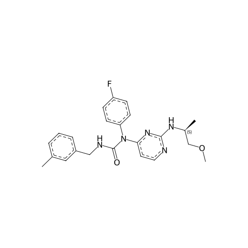 COC[C@H](C)Nc1nccc(N(C(=O)NCc2cccc(C)c2)c2ccc(F)cc2)n1